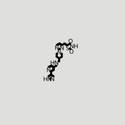 O=C1NC(=O)C(=Cc2ccnc(N3CCC(CNCc4ccnc(-c5cn[nH]c5)c4)CC3)n2)S1